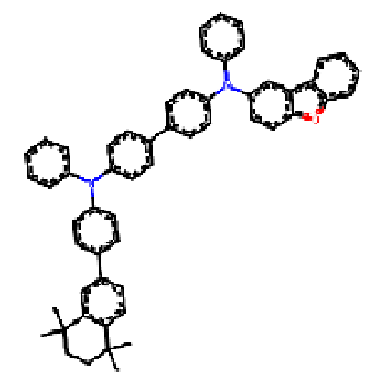 CC1(C)CCC(C)(C)c2cc(-c3ccc(N(c4ccccc4)c4ccc(-c5ccc(N(c6ccccc6)c6ccc7oc8ccccc8c7c6)cc5)cc4)cc3)ccc21